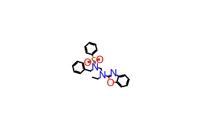 CCN(CN(Cc1ccccc1)S(=O)(=O)c1ccccc1)c1nc2ccccc2o1